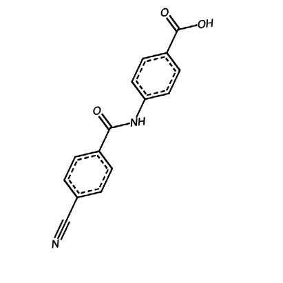 N#Cc1ccc(C(=O)Nc2ccc(C(=O)O)cc2)cc1